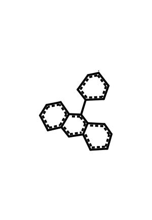 [c]1ccc(-c2c3ccccc3cc3ccccc23)cc1